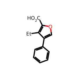 CCc1c(-c2ccccc2)coc1C(=O)O